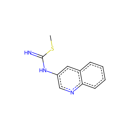 CSC(=N)Nc1cnc2ccccc2c1